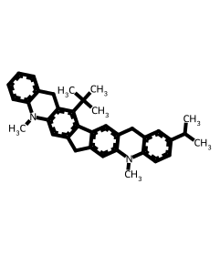 CC(C)c1ccc2c(c1)Cc1cc3c(cc1N2C)Cc1cc2c(c(C(C)(C)C)c1-3)Cc1ccccc1N2C